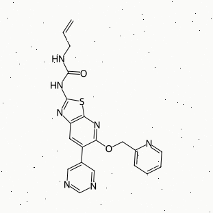 C=CCNC(=O)Nc1nc2cc(-c3cncnc3)c(OCc3ccccn3)nc2s1